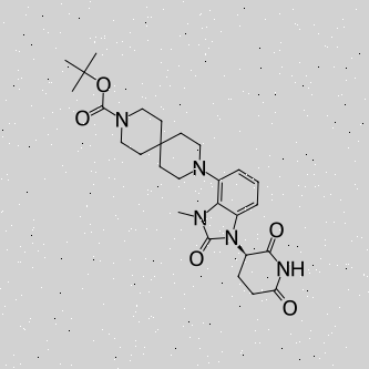 Cn1c(=O)n([C@@H]2CCC(=O)NC2=O)c2cccc(N3CCC4(CCN(C(=O)OC(C)(C)C)CC4)CC3)c21